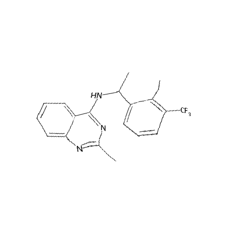 Cc1nc(NC(C)c2cccc(C(F)(F)F)c2C)c2ccccc2n1